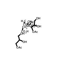 CC(=O)O.CC(=O)O.CC(=O)O.CC(=O)O.CC(=O)OCC(O)CO.CC(=O)OCC(O)CO